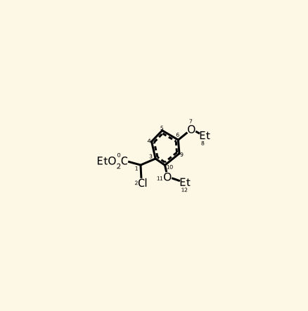 CCOC(=O)C(Cl)c1ccc(OCC)cc1OCC